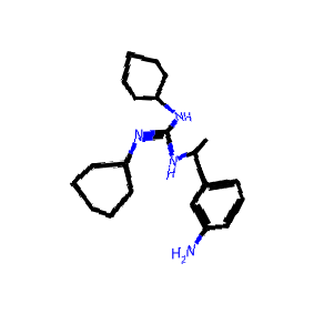 CC(NC(=NC1CCCCC1)NC1CCCCC1)c1cccc(N)c1